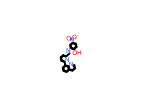 O=[N+]([O-])c1ccc(O)c(/N=C/c2cccc(-c3cccc4cccnc34)n2)c1